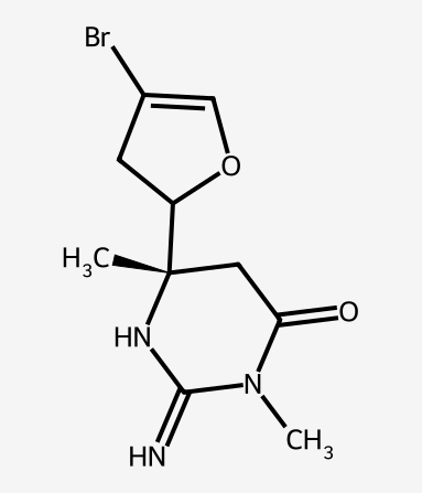 CN1C(=N)N[C@](C)(C2CC(Br)=CO2)CC1=O